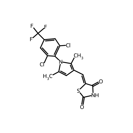 Cc1cc(/C=C2\SC(=O)NC2=O)c(C)n1-c1c(Cl)cc(C(F)(F)F)cc1Cl